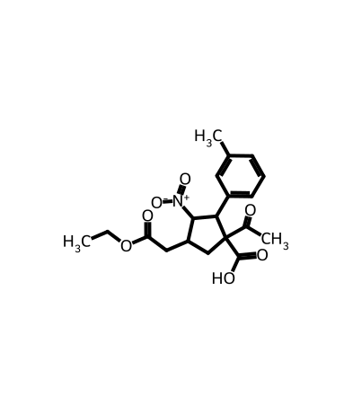 CCOC(=O)CC1CC(C(C)=O)(C(=O)O)C(c2cccc(C)c2)C1[N+](=O)[O-]